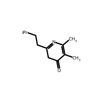 CC1=C(C)C(=O)CC(CCC(C)C)=N1